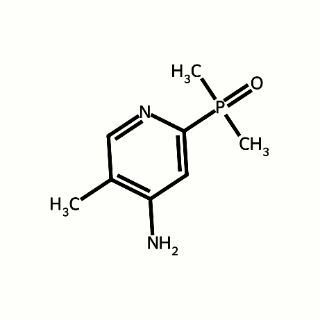 Cc1cnc(P(C)(C)=O)cc1N